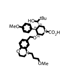 COCCCN1CCOc2ccc(CO[C@H]3CN(C(=O)O)C[C@@H](C(O)C(C)(C)C)[C@@H]3c3ccc(OC)cc3)cc21